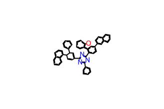 C1=CC(c2cccc3ccccc23)C(c2ccccc2)C=C1c1nc(-c2ccccc2)nc(-c2ccc(-c3ccc4ccccc4c3)c3oc4ccccc4c23)n1